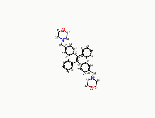 c1ccc(C(=C(c2ccccc2)c2ccc(CN3CCOCC3)cc2)c2ccc(CN3CCOCC3)cc2)cc1